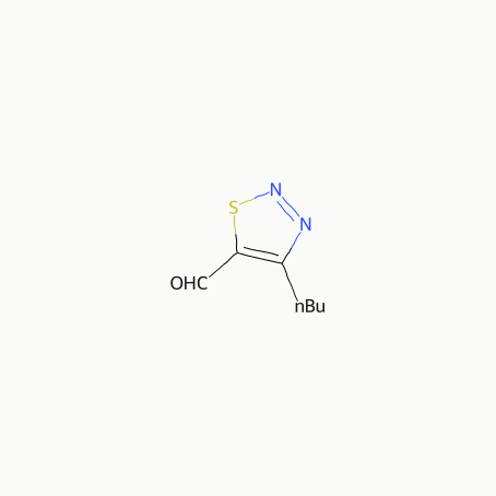 CCCCc1nnsc1C=O